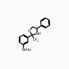 CC(=O)Nc1cccc(C2(C(F)(F)F)NC(c3ccccc3)CO2)c1